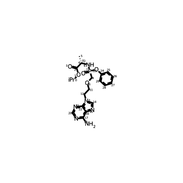 CC(C)OC(=O)[C@H](C)NP(=O)(COCCn1cnc2c(N)ncnc21)Oc1ccccc1